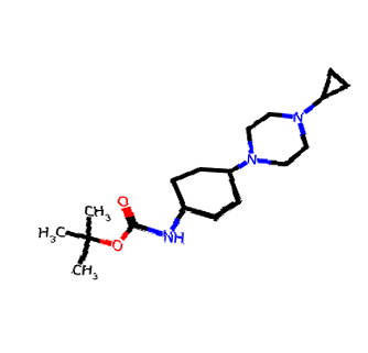 CC(C)(C)OC(=O)NC1CCC(N2CCN(C3CC3)CC2)CC1